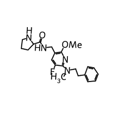 COc1nc(N(C)CCc2ccccc2)c(F)cc1CNC(=O)C1CCCN1